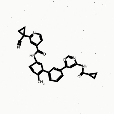 Cc1ccc(NC(=O)c2ccnc(C3(C#N)CC3)c2)cc1-c1cccc(-c2cc(NC(=O)C3CC3)ncn2)c1